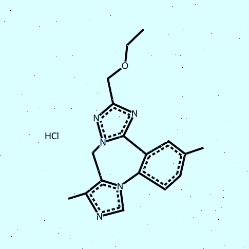 CCOCc1nc2n(n1)Cc1c(C)ncn1-c1ccc(C)cc1-2.Cl